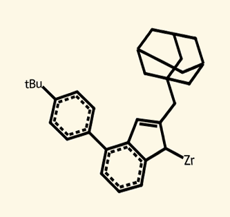 CC(C)(C)c1ccc(-c2cccc3c2C=C(CC24CC5CC(CC(C5)C2)C4)[CH]3[Zr])cc1